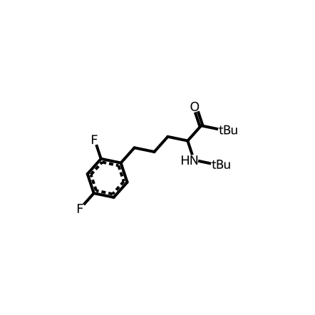 CC(C)(C)NC(CCCc1ccc(F)cc1F)C(=O)C(C)(C)C